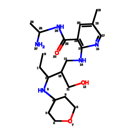 CCC(NC1CCOCC1)C(CO)CNc1ncc(C)cc1C(=O)NC(C)N